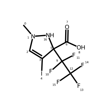 CN1C=C(I)C(C(=O)O)(C(F)(F)C(F)(F)F)N1